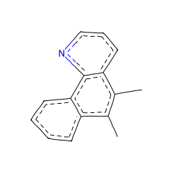 Cc1c(C)c2cccnc2c2ccccc12